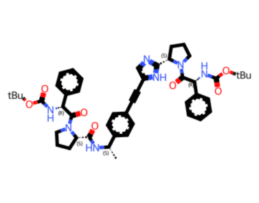 C[C@H](NC(=O)[C@@H]1CCCN1C(=O)[C@H](NC(=O)OC(C)(C)C)c1ccccc1)c1ccc(C#Cc2cnc([C@@H]3CCCN3C(=O)[C@H](NC(=O)OC(C)(C)C)c3ccccc3)[nH]2)cc1